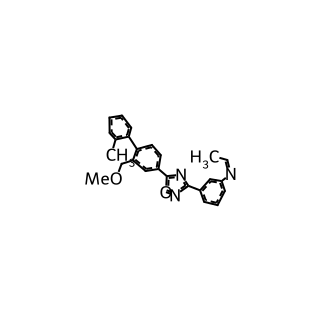 C/C=N\c1cccc(-c2noc(-c3ccc(-c4ccccc4C)c(COC)c3)n2)c1